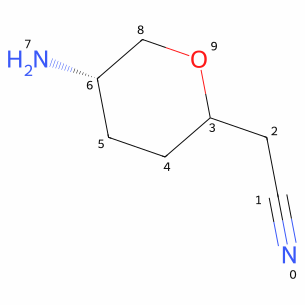 N#CCC1CC[C@H](N)CO1